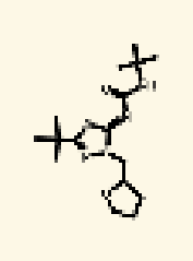 CC(C)(C)NC(=O)/N=c1\sc(C(C)(C)C)nn1C[C@H]1CCCO1